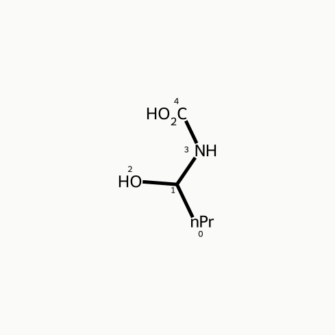 [CH2]CCC(O)NC(=O)O